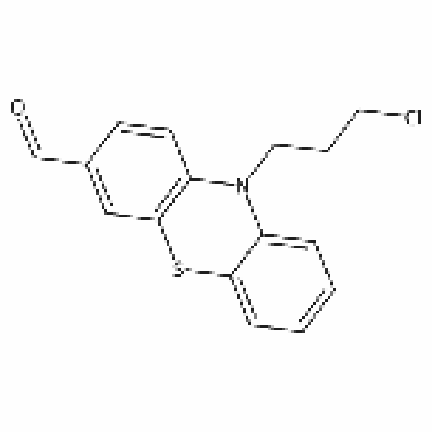 O=Cc1ccc2c(c1)Sc1ccccc1N2CCCCl